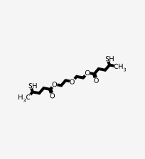 CC(S)CCC(=O)OCCOCCOC(=O)CCC(C)S